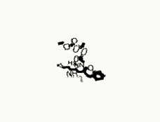 CCOC(=O)OC(C)OC(=O)CNC(=O)C(Cc1ccccc1)CC(SS)C(N)CCSC